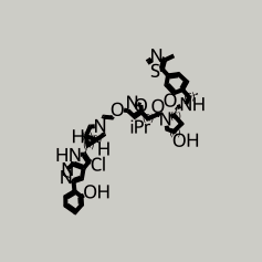 Cc1ncsc1-c1ccc([C@H](C)NC(=O)[C@@H]2C[C@@H](O)CN2C(=O)[C@@H](c2cc(OCCN3C[C@@H]4[C@H](C3)[C@H]4c3[nH]c4nnc(-c5ccccc5O)cc4c3Cl)no2)C(C)C)cc1